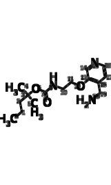 CCCC(C)(C)OC(=O)NCCOc1cnccc1CN